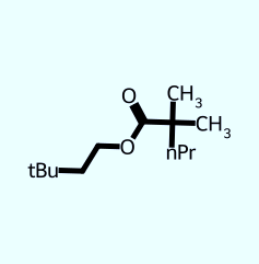 CCCC(C)(C)C(=O)OCCC(C)(C)C